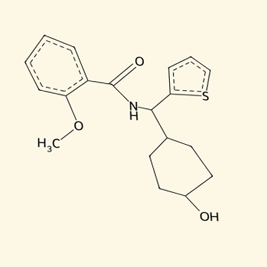 COc1ccccc1C(=O)NC(c1cccs1)C1CCC(O)CC1